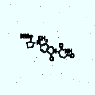 CN[C@@H]1CCC[C@H]1N(C)c1ccc2c(c1)CN(C1CCC(=O)NC1=O)C2=O